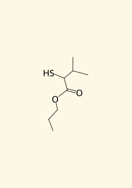 CCCOC(=O)C(S)C(C)C